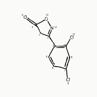 O=C1CC(c2ccc(Cl)cc2Cl)=NO1